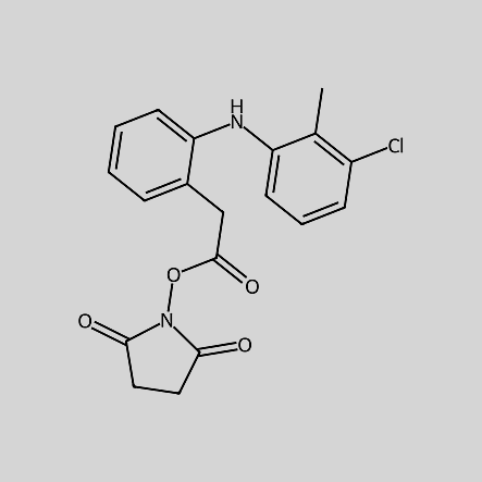 Cc1c(Cl)cccc1Nc1ccccc1CC(=O)ON1C(=O)CCC1=O